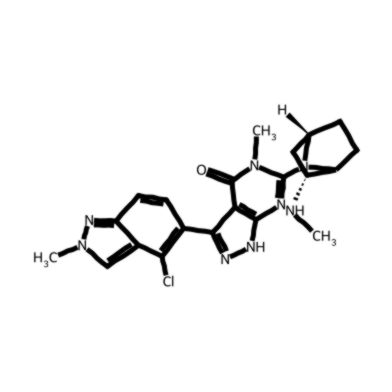 CN[C@@H]1C[C@@H]2CCC1N2c1nc2[nH]nc(-c3ccc4nn(C)cc4c3Cl)c2c(=O)n1C